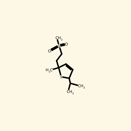 CC(C)C1C=CC(C)(CCS(C)(=O)=O)S1